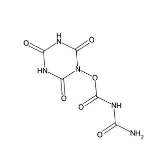 NC(=O)NC(=O)On1c(=O)[nH]c(=O)[nH]c1=O